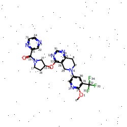 COc1ncc(N2CCc3ncnc(OC4CCN(C(=O)c5cnccn5)C4)c3C2)cc1C(F)(F)F